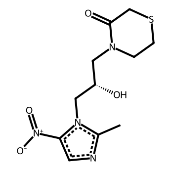 Cc1ncc([N+](=O)[O-])n1C[C@@H](O)CN1CCSCC1=O